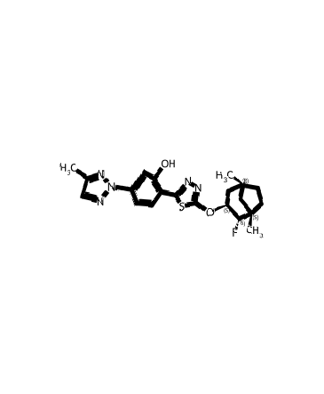 Cc1cnn(-c2ccc(-c3nnc(O[C@H]4C[C@]5(C)CC[C@@](C)(C5)[C@@H]4F)s3)c(O)c2)n1